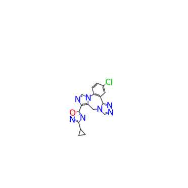 Clc1ccc2c(c1)-c1nncn1Cc1c(-c3nc(C4CC4)no3)ncn1-2